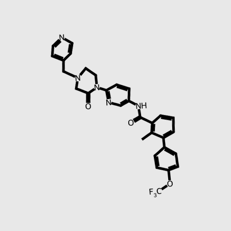 Cc1c(C(=O)Nc2ccc(N3CCN(Cc4ccncc4)CC3=O)nc2)cccc1-c1ccc(OC(F)(F)F)cc1